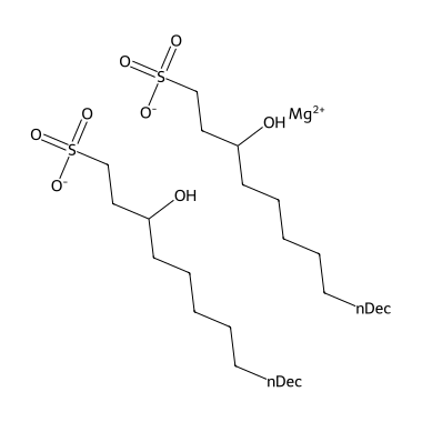 CCCCCCCCCCCCCCCC(O)CCS(=O)(=O)[O-].CCCCCCCCCCCCCCCC(O)CCS(=O)(=O)[O-].[Mg+2]